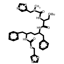 CC(C)COCC(NC(=O)N(C)Cc1cncs1)C(=O)NC(CCC(Cc1ccccc1)NC(=O)OCc1cncs1)Cc1ccccc1